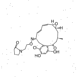 C[C@H]1CC(=O)c2c(O)cc(O)c(Cl)c2CC(=N\OCCN2CCCC2=O)/C=C/C=C\[C@H]2O[C@@H]2C1